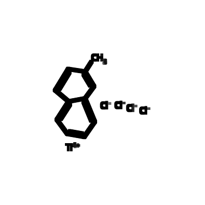 Cc1ccc2ccccc2c1.[Cl-].[Cl-].[Cl-].[Cl-].[Ti+4]